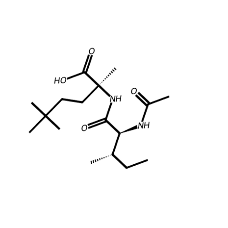 CC[C@H](C)[C@H](NC(C)=O)C(=O)N[C@@](C)(CCC(C)(C)C)C(=O)O